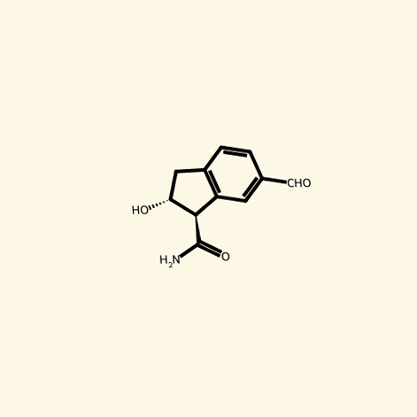 NC(=O)[C@@H]1c2cc(C=O)ccc2C[C@H]1O